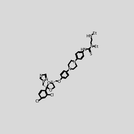 CCNCCN(CC)C(=S)Nc1ccc(N2CCN(c3ccc(OC[C@@H]4CO[C@@](Cn5cncn5)(c5ccc(Cl)cc5Cl)O4)cc3)CC2)cc1